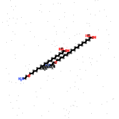 CC(=O)O.CC(=O)O.NCCOCCCCCCCCCCCCCCCCCCC(O)O.NCCOCCCCCCCCCCCCCCCCCCC(O)O